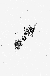 C[C@H](Nc1nc(Cl)nn2c([C@H]3CC[C@@H](COP(=O)(O)CP(=O)(O)O)O3)cnc12)c1cncc(F)c1